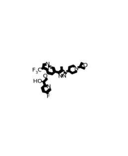 Cc1c(-c2cc(OC[C@H](O)c3ccc(F)cn3)c3c(C(F)(F)F)cnn3c2)nnn1C1CCN(C2COC2)CC1